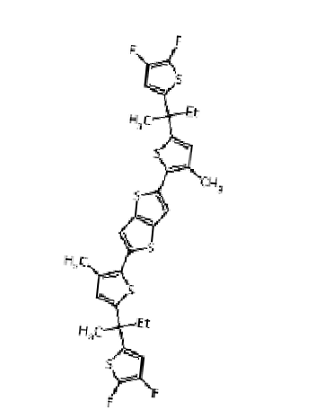 CCC(C)(c1cc(F)c(F)s1)c1cc(C)c(-c2cc3sc(-c4sc(C(C)(CC)c5cc(F)c(F)s5)cc4C)cc3s2)s1